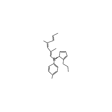 C/C=C/C(C)=C\C(C)=C\B(c1ccc(C)cc1)[C@H]1C=CC=C1CCC